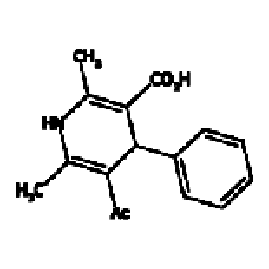 CC(=O)C1=C(C)NC(C)=C(C(=O)O)C1c1ccccc1